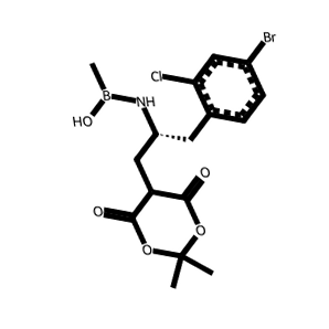 CB(O)N[C@H](Cc1ccc(Br)cc1Cl)CC1C(=O)OC(C)(C)OC1=O